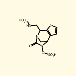 O=C(O)NCC1c2sccc2C2CN1C(=O)N2OS(=O)(=O)O